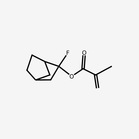 C=C(C)C(=O)OC1(F)CC2CCC1C2